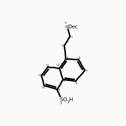 CCCCCCCCCCCCc1cccc2c(S(=O)(=O)O)cccc12